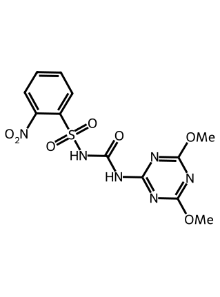 COc1nc(NC(=O)NS(=O)(=O)c2ccccc2[N+](=O)[O-])nc(OC)n1